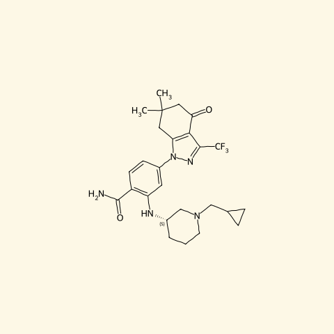 CC1(C)CC(=O)c2c(C(F)(F)F)nn(-c3ccc(C(N)=O)c(N[C@H]4CCCN(CC5CC5)C4)c3)c2C1